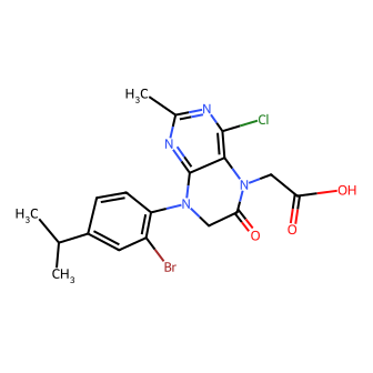 Cc1nc(Cl)c2c(n1)N(c1ccc(C(C)C)cc1Br)CC(=O)N2CC(=O)O